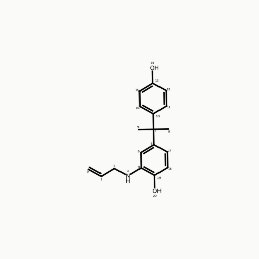 C=CCNc1cc(C(C)(C)c2ccc(O)cc2)ccc1O